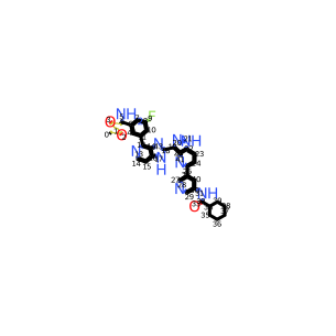 CS(=O)(=O)C(N)c1cc(F)cc(-c2nccc3[nH]c(-c4n[nH]c5ccc(-c6cncc(NC(=O)C7CCCCC7)c6)nc45)nc23)c1